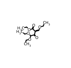 CCOC=C(C(=O)OCC)C(=O)C(OCC)OCC